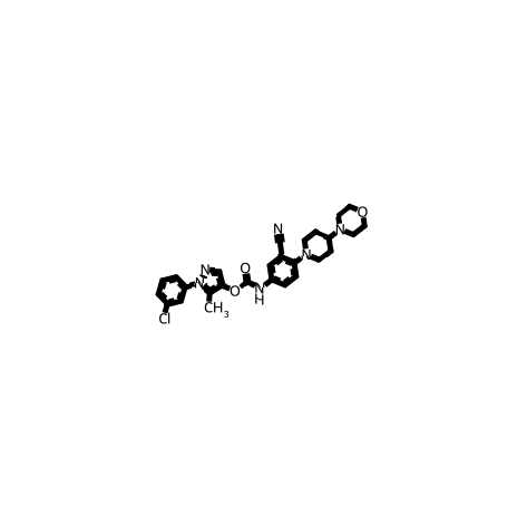 Cc1c(OC(=O)Nc2ccc(N3CCC(N4CCOCC4)CC3)c(C#N)c2)cnn1-c1cccc(Cl)c1